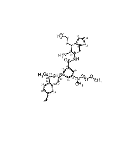 CCCC[C@H](N)[C@H](Cc1ccsc1)NC(=O)c1cc(C(=O)N[C@H](C)c2ccc(F)cc2)cc(N(C)SOOC)c1